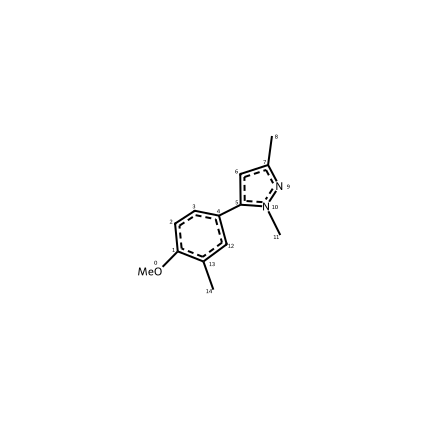 COc1ccc(-c2cc(C)nn2C)cc1C